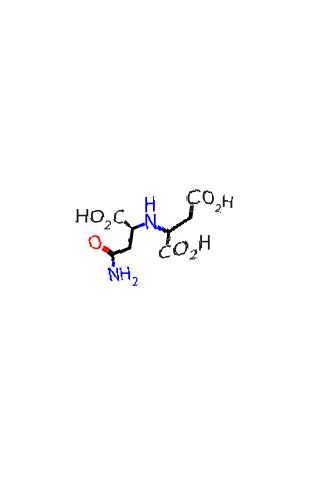 NC(=O)C[C@H](NC(CC(=O)O)C(=O)O)C(=O)O